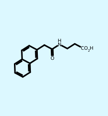 O=C(O)CCNC(=O)Cc1ccc2ccccc2c1